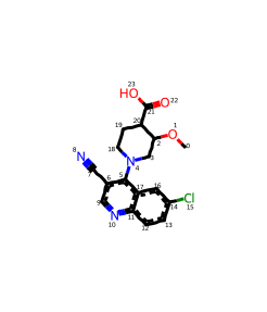 COC1CN(c2c(C#N)cnc3ccc(Cl)cc23)CCC1C(=O)O